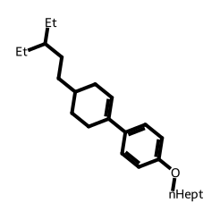 CCCCCCCOc1ccc(C2=CCC(CCC(CC)CC)CC2)cc1